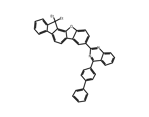 CCC1(CC)c2ccccc2-c2ccc3c(oc4ccc(-c5nc(-c6ccc(-c7ccccc7)cc6)c6ccccc6n5)cc43)c21